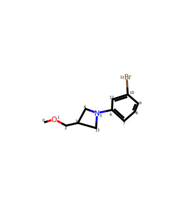 COCC1CN(c2cccc(Br)c2)C1